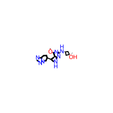 COc1nc(N[C@H]2C[C@](C)(O)C2)nc2[nH]cc(-c3ccc4ncnn4c3)c12